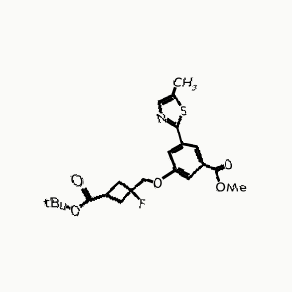 COC(=O)c1cc(OCC2(F)CC(C(=O)OC(C)(C)C)C2)cc(-c2ncc(C)s2)c1